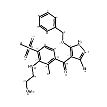 CCc1n[nH]c(OCc2ccccc2)c1C(=O)c1ccc(S(C)(=O)=O)c(NCCOC)c1C